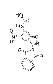 O=C(O)Nc1cc2onc(N3C(=O)c4ccccc4C3=O)c2cc1[N+](=O)[O-]